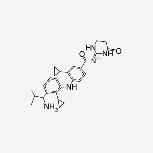 CC(C)C(N)c1cccc(Nc2ccc(C(=O)/N=C3\NCCC(=O)N3)cc2C2CC2)c1C1CC1